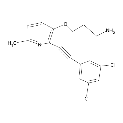 Cc1ccc(OCCCN)c(C#Cc2cc(Cl)cc(Cl)c2)n1